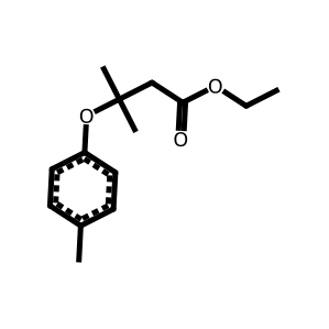 CCOC(=O)CC(C)(C)Oc1ccc(C)cc1